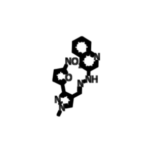 Cn1cc(C=NNc2cnc3ccccc3c2)c(-c2ccc([N+](=O)[O-])o2)n1